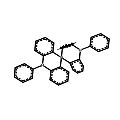 c1ccc(N2c3ccccc3[Si]3(c4ccccc42)c2ccccc2N(c2ccccc2)c2ccccc23)cc1